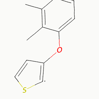 Cc1cccc(Oc2[c]scc2)c1C